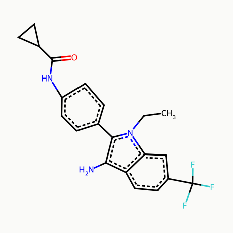 CCn1c(-c2ccc(NC(=O)C3CC3)cc2)c(N)c2ccc(C(F)(F)F)cc21